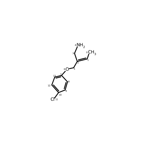 C/C=C(\CN)COc1ccc(Cl)cc1